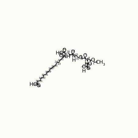 CCOC(CNC(=O)COCCNC(=O)CC[C@H](NC(=O)CCCCCCCCCCCCCCCCC(=O)O)C(=O)O)OCC(=O)O